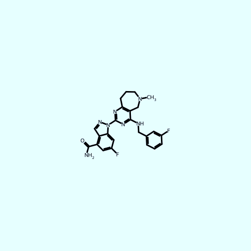 CN1CCCc2nc(-n3ncc4c(C(N)=O)cc(F)cc43)nc(NCc3cccc(F)c3)c2C1